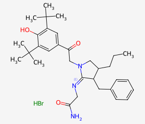 Br.CCCC1CN(CC(=O)c2cc(C(C)(C)C)c(O)c(C(C)(C)C)c2)/C(=N/CC(N)=O)C1Cc1ccccc1